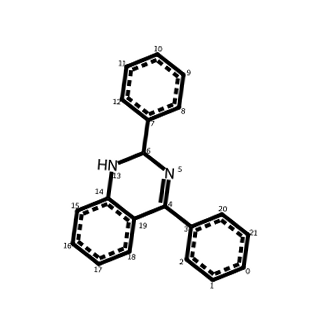 c1ccc(C2=NC(c3ccccc3)Nc3ccccc32)cc1